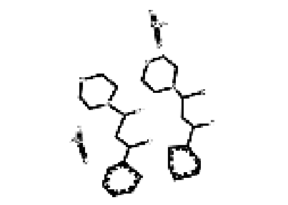 [O-]C(CC([O-])N1CCOCC1)c1ccccc1.[O-]C(CC([O-])N1CCOCC1)c1ccccc1.[O]=[Mo+2]=[O].[O]=[Mo+2]=[O]